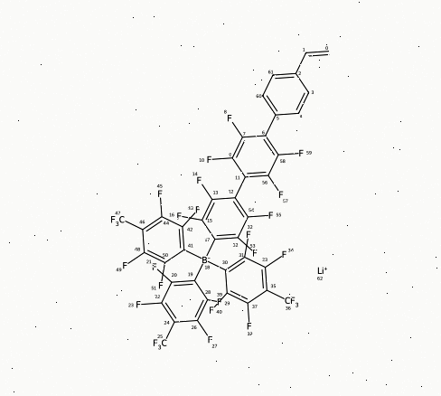 C=Cc1ccc(-c2c(F)c(F)c(-c3c(F)c(F)c([B-](c4c(F)c(F)c(C(F)(F)F)c(F)c4F)(c4c(F)c(F)c(C(F)(F)F)c(F)c4F)c4c(F)c(F)c(C(F)(F)F)c(F)c4F)c(F)c3F)c(F)c2F)cc1.[Li+]